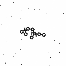 c1ccc(-c2ccc(-c3cc(-c4cccc(-c5ccc6sc7c8ccccc8c8ccccc8c7c6c5)c4)nc(-c4ccccc4)n3)cc2)cc1